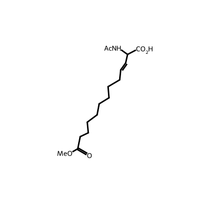 COC(=O)CCCCCCCC/C=C/C(NC(C)=O)C(=O)O